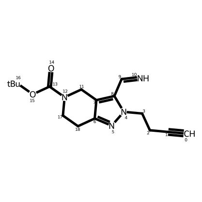 C#CCCn1nc2c(c1C=N)CN(C(=O)OC(C)(C)C)CC2